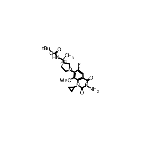 COc1c(N2CC[C@H]([C@H](C)NC(=O)OC(C)(C)C)C2)c(F)cc2c(=O)n(N)c(=O)n(C3CC3)c12